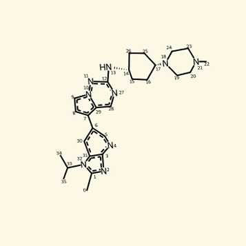 Cc1nc2ncc(-c3ccn4nc(N[C@H]5CC[C@@H](N6CCN(C)CC6)CC5)ncc34)cc2n1C(C)C